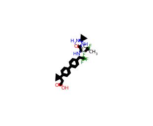 CC(C)(F)C[C@H](N[C@@H](c1ccc(-c2ccc(C3(CC(=O)O)CC3)cc2)cc1)C(F)(F)F)C(=O)NC1(N)CC1